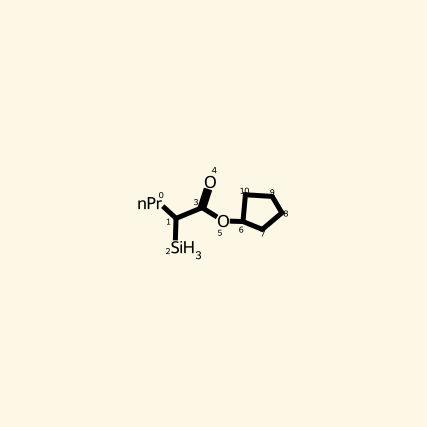 CCCC([SiH3])C(=O)OC1CCCC1